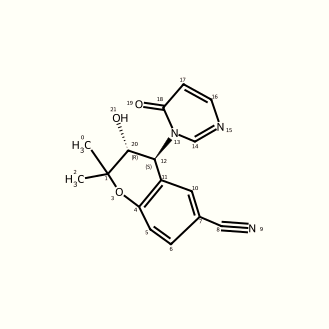 CC1(C)Oc2ccc(C#N)cc2[C@H](n2cnccc2=O)[C@H]1O